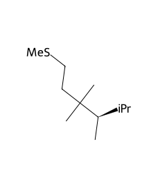 CSCCC(C)(C)[C@H](C)C(C)C